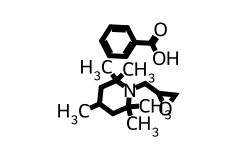 CC1CC(C)(C)N(CC2CO2)C(C)(C)C1.O=C(O)c1ccccc1